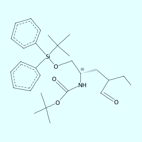 CCC(C=O)C[C@@H](CO[Si](c1ccccc1)(c1ccccc1)C(C)(C)C)NC(=O)OC(C)(C)C